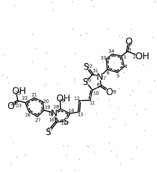 O=C(O)c1ccc(N2C(=O)C(=CC=Cc3sc(=S)n(-c4ccc(C(=O)O)cc4)c3O)SC2=S)cc1